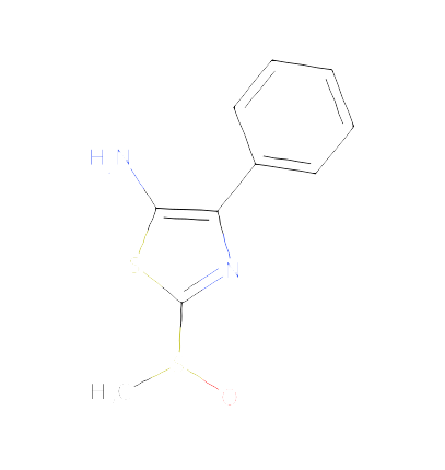 C[S+]([O-])c1nc(-c2ccccc2)c(N)s1